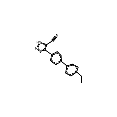 CCc1ccc(-c2ccc(-c3nn[nH]c3C#N)cc2)cc1